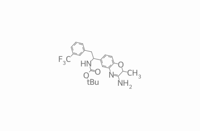 CC1Oc2ccc(C(Cc3cccc(C(F)(F)F)c3)NC(=O)OC(C)(C)C)cc2N=C1N